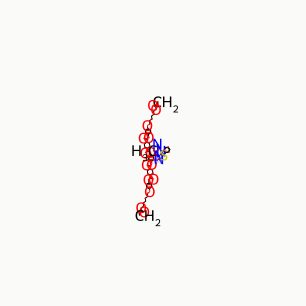 C=CC(=O)OCCCCCCOc1ccc(OC(=O)[C@H]2CC[C@H](C(=O)Oc3ccc(OC(=O)[C@H]4CC[C@H](C(=O)Oc5ccc(OCCCCCCOC(=O)C=C)cc5)CC4)c(/C=N\N(CC(C)CC#N)c4nc5ccccc5s4)c3)CC2)cc1